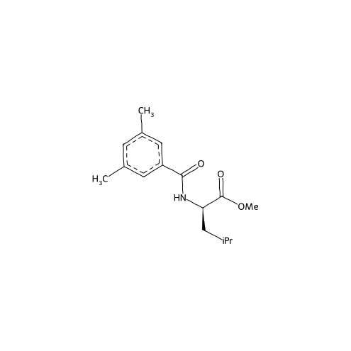 COC(=O)[C@@H](CC(C)C)NC(=O)c1cc(C)cc(C)c1